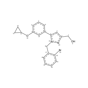 OCc1cc(-c2cccc(OC3CC3)c2)n(Cc2ccccc2Br)n1